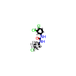 O=C(Nc1ccc(Cl)c(Cl)c1)N[13c]1[13cH][13cH][13c](Cl)[13cH][13cH]1